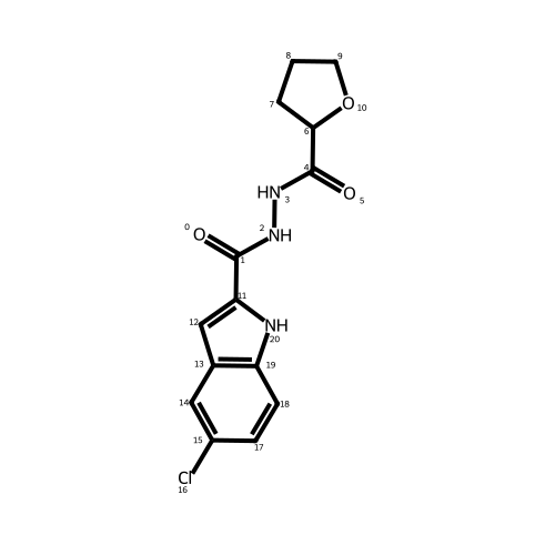 O=C(NNC(=O)C1CCCO1)c1cc2cc(Cl)ccc2[nH]1